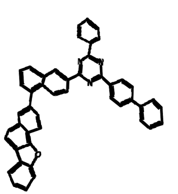 c1ccc(-c2ccc(-c3nc(-c4ccccc4)nc(-c4ccc5c(-c6ccc7c(ccc8c9ccccc9oc78)c6)cccc5c4)n3)cc2)cc1